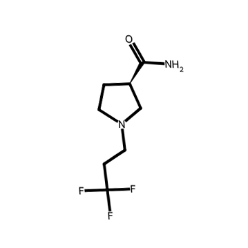 NC(=O)[C@@H]1CCN(CCC(F)(F)F)C1